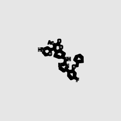 CC(=O)c1c(C2CNCCO2)c2ccc(Nc3nccc(-c4ccc(F)cc4OCc4ccccc4)n3)cc2oc1=O